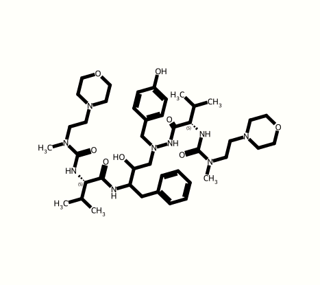 CC(C)[C@H](NC(=O)N(C)CCN1CCOCC1)C(=O)NC(Cc1ccccc1)C(O)CN(Cc1ccc(O)cc1)NC(=O)[C@@H](NC(=O)N(C)CCN1CCOCC1)C(C)C